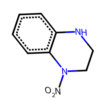 O=[N+]([O-])N1CCNc2ccccc21